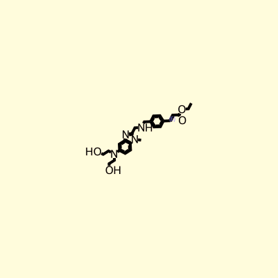 CCOC(=O)/C=C/c1ccc(CNCc2nc3cc(N(CCO)CCO)ccc3n2C)cc1